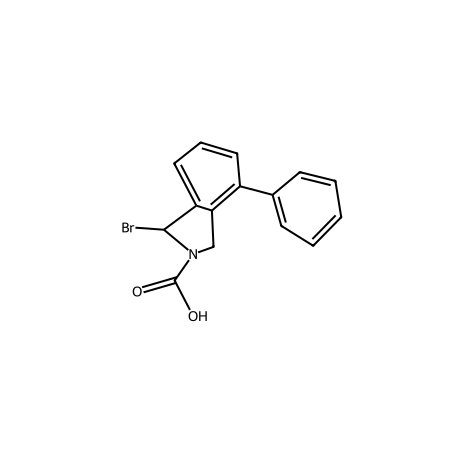 O=C(O)N1Cc2c(-c3ccccc3)cccc2C1Br